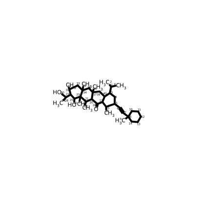 CC(C)C1CC(C#CC2(C)CCCCC2)C(C)C2C(=O)C3C(C)C4(C)C(O)C(C(C)O)C(C)CC4(C)CC3(C)CC12